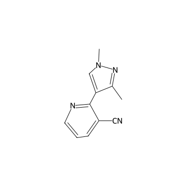 Cc1nn(C)cc1-c1ncccc1C#N